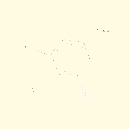 CNc1cc(N)c(OC)c(OC)c1